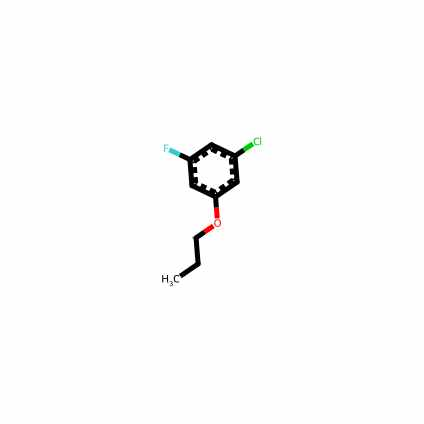 CC[CH]Oc1cc(F)cc(Cl)c1